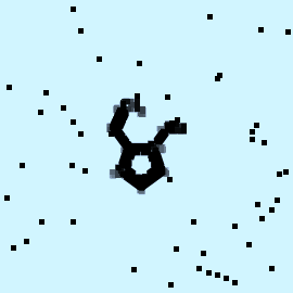 C=Cc1nccn1C(C)(C)C